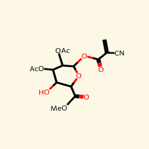 C=C(C#N)C(=O)OC1OC(C(=O)OC)C(O)C(OC(C)=O)C1OC(C)=O